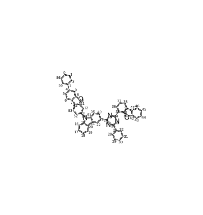 c1ccc(-c2ccc3c(c2)oc2cc(-n4c5ccccc5c5cc(-c6nc(-c7ccccc7)nc(-c7cccc8c7oc7ccccc78)n6)ccc54)ccc23)cc1